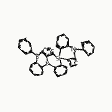 c1ccc(B2c3ccccc3N3c4ccccc4[Si]4(c5ccccc5N(c5ccccc5)c5ccccc54)c4cccc2c43)cc1